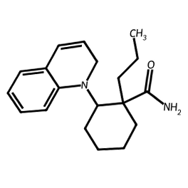 CCCC1(C(N)=O)CCCCC1N1CC=Cc2ccccc21